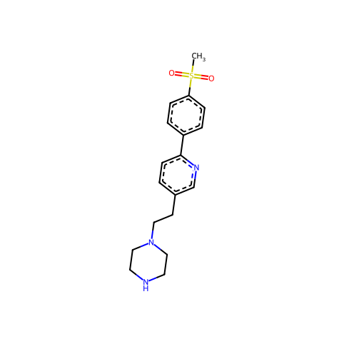 CS(=O)(=O)c1ccc(-c2ccc(CCN3CCNCC3)cn2)cc1